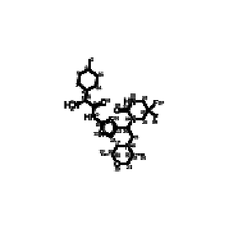 CC1CCC([C@H](N)C(=O)Nc2ncc(C(CN3C[C@@H](C)OC[C@H]3C)N3CC(F)(F)CNC3=O)s2)CC1